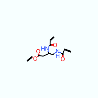 C=COC(=O)CC(CNC(=O)C=C)NC(=O)C=C